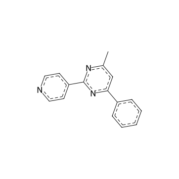 Cc1cc(-c2ccccc2)nc(-c2ccncc2)n1